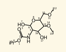 CC(C)OC(=O)NC1C(O)OC(COI)[C@@H](OI)C1O